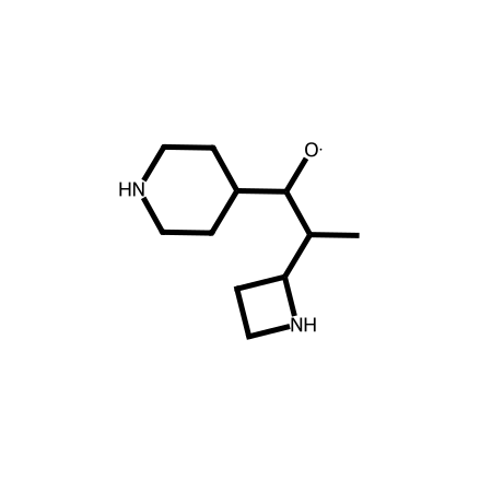 CC(C1CCN1)C([O])C1CCNCC1